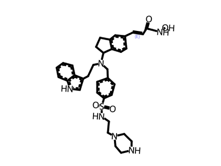 O=C(/C=C/c1ccc2c(c1)CCC2N(CCc1c[nH]c2ccccc12)Cc1ccc(S(=O)(=O)NCCN2CCNCC2)cc1)NO